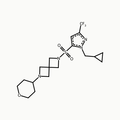 O=S(=O)(c1cc(C(F)(F)F)nn1CC1CC1)N1CC2(CN(C3CCOCC3)C2)C1